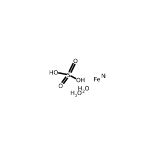 O.O.O=S(=O)(O)O.[Fe].[Ni]